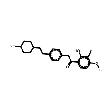 CCCC1CCC(CCc2ccc(CC(=O)c3ccc(OCC)c(F)c3O)cc2)CC1